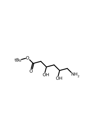 CC(C)(C)OC(=O)CC(O)CC(O)CN